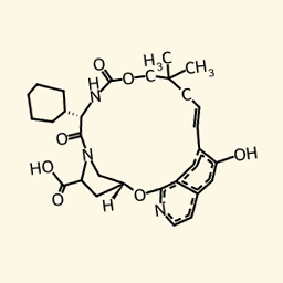 CC1(C)C/C=C/c2cc3c(nccc3cc2O)O[C@@H]2CC(C(=O)O)N(C2)C(=O)[C@H](C2CCCCC2)NC(=O)OC1